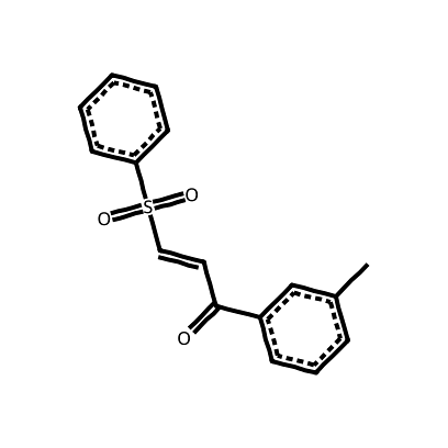 Cc1cccc(C(=O)/C=C/S(=O)(=O)c2ccccc2)c1